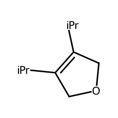 CC(C)C1=C(C(C)C)COC1